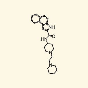 O=C(NC1CCN(CCN2CCCCC2)CC1)c1cc2c(ccc3ccccc32)[nH]1